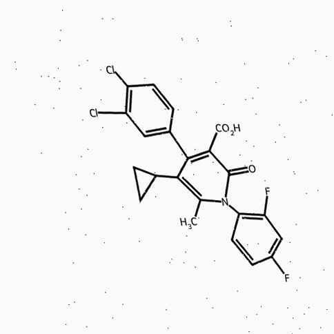 Cc1c(C2CC2)c(-c2ccc(Cl)c(Cl)c2)c(C(=O)O)c(=O)n1-c1ccc(F)cc1F